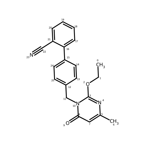 CCOc1nc(C)cc(=O)n1Cc1ccc(-c2ccccc2C#N)cc1